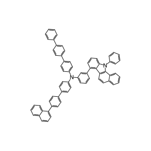 c1ccc(-c2ccc(-c3ccc(N(c4ccc(-c5ccc(-c6cccc7ccccc67)cc5)cc4)c4cccc(-c5cccc6c5c5ccc7ccccc7c5n6-c5ccccc5)c4)cc3)cc2)cc1